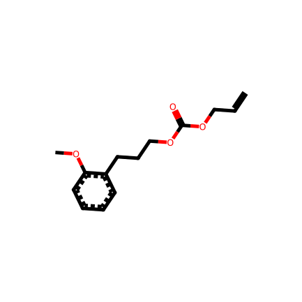 C=CCOC(=O)OCCCc1ccccc1OC